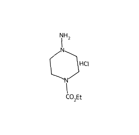 CCOC(=O)N1CCN(N)CC1.Cl